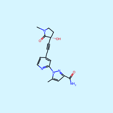 Cc1cc(C(N)=O)nn1-c1cc(C#C[C@]2(O)CCN(C)C2=O)ccn1